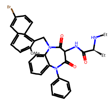 CCN[C@@H](CC)C(=O)NC1C(=O)N(Cc2c(OC)ccc3cc(Br)ccc23)c2ccccc2N(c2ccccc2)C1=O